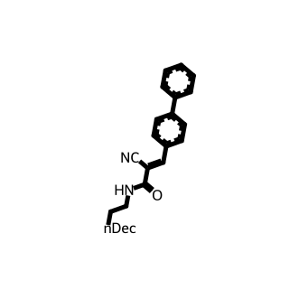 CCCCCCCCCCCCNC(=O)/C(C#N)=C/c1ccc(-c2ccccc2)cc1